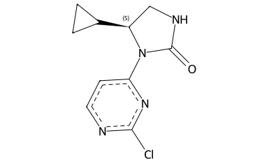 O=C1NC[C@H](C2CC2)N1c1ccnc(Cl)n1